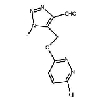 O=Cc1nnn(F)c1COc1ccc(Cl)nn1